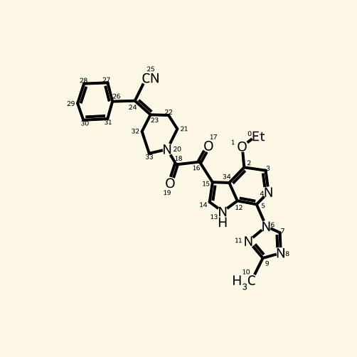 CCOc1cnc(-n2cnc(C)n2)c2[nH]cc(C(=O)C(=O)N3CCC(=C(C#N)c4ccccc4)CC3)c12